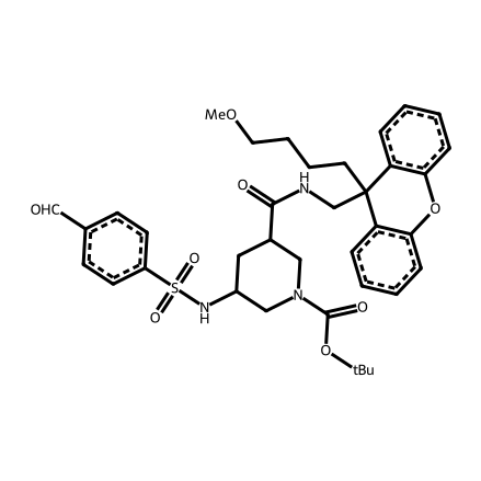 COCCCCC1(CNC(=O)C2CC(NS(=O)(=O)c3ccc(C=O)cc3)CN(C(=O)OC(C)(C)C)C2)c2ccccc2Oc2ccccc21